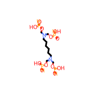 O=[PH](O)OCN(CCCCCCN(CO[PH](=O)O)CO[PH](=O)O)CO[PH](=O)O